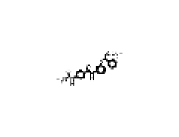 NC(=O)Nc1ccc(C(=O)Nc2cccc(SC(CC(=O)O)c3ccccc3)c2)cc1